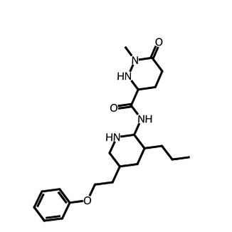 CCCC1CC(CCOc2ccccc2)CNC1NC(=O)C1CCC(=O)N(C)N1